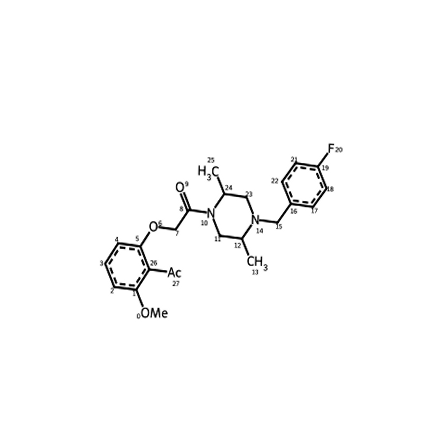 COc1cccc(OCC(=O)N2CC(C)N(Cc3ccc(F)cc3)CC2C)c1C(C)=O